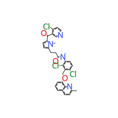 Cc1ccc2cccc(OCc3c(Cl)ccc(N(C)C(=O)CCc4ccc(C(=O)c5cnccc5Cl)n4C)c3Cl)c2n1